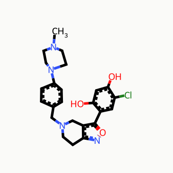 CN1CCN(c2ccc(CN3CCc4noc(-c5cc(Cl)c(O)cc5O)c4C3)cc2)CC1